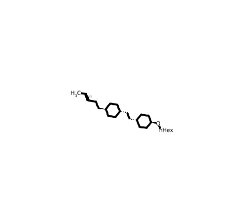 C/C=C/CC[C@H]1CC[C@H](CC[C@H]2CC[C@H](OCCCCCC)CC2)CC1